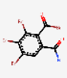 [N]C(=O)c1cc(Br)c(Br)c(Br)c1C(=O)Br